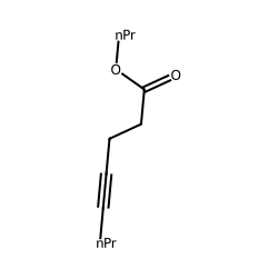 CCCC#CCCC(=O)OCCC